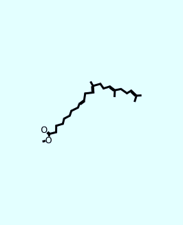 COC(=O)CCCCCCC/C=C/C/C=C(\C)CC/C=C(\C)CCC=C(C)C